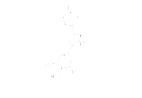 Nc1c(Br)cc(-c2cn(C3CCNCC3)c(=O)[nH]2)cc1Br